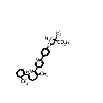 CC1=C(c2ccc(-c3ccc(OCC(C)(C)C(=O)O)cc3)nc2)NC(c2ccccc2C(F)(F)F)=CCC1